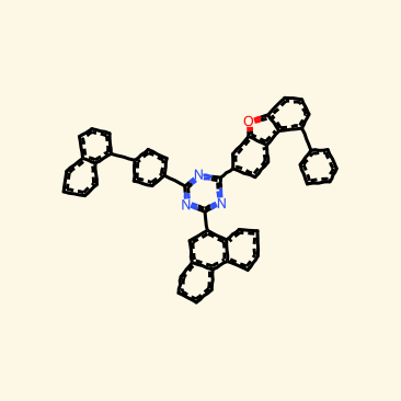 c1ccc(-c2cccc3oc4cc(-c5nc(-c6ccc(-c7cccc8ccccc78)cc6)nc(-c6cc7ccccc7c7ccccc67)n5)ccc4c23)cc1